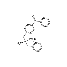 CC(Cc1ccccc1)(Sc1ccc(C(=O)c2ccccc2)cc1)C(=O)O